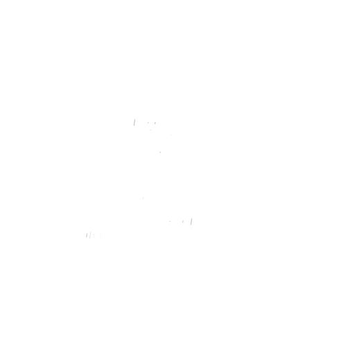 CC(C)(C)C1CCC(C/C=C\CCC(=O)O)(CCO)CC1